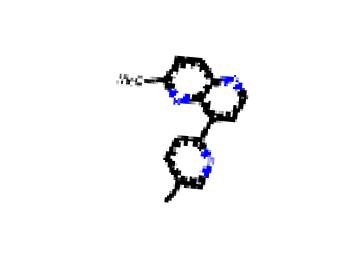 COc1ccc2nccc(-c3ccc(C)cn3)c2n1